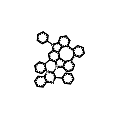 c1ccc(-c2nc3ccccc3nc2-n2c3cccc4c5ccccc5c5cccc6c5c5c(c43)c2c(-c2ccccc2)cc5n6-c2ccccc2)cc1